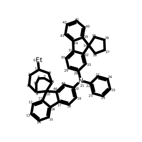 CCC1CCC2CCCC(C1)C21c2ccccc2-c2ccc(N(c3ccccc3)c3ccc4c(c3)C3(CCCC3)c3ccccc3-4)cc21